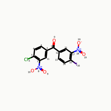 O=C(c1ccc(Cl)c([N+](=O)[O-])c1)c1ccc(I)c([N+](=O)[O-])c1